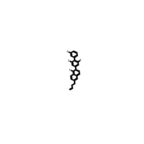 C=CCCc1ccc2c(F)c(-c3cc(F)c(-c4cccc(F)c4)c(F)c3)ccc2c1